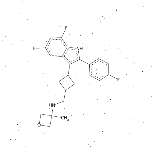 CC1(NCC2CC(c3c(-c4ccc(F)cc4)[nH]c4c(F)cc(F)cc34)C2)COC1